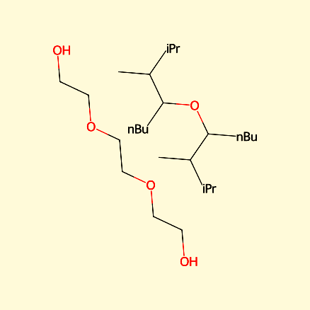 CCCCC(OC(CCCC)C(C)C(C)C)C(C)C(C)C.OCCOCCOCCO